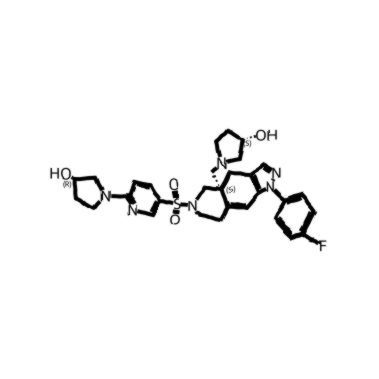 O=S(=O)(c1ccc(N2CC[C@@H](O)C2)nc1)N1CCC2=Cc3c(cnn3-c3ccc(F)cc3)C[C@]2(CN2CC[C@H](O)C2)C1